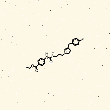 CCOC(=O)c1ccc(NC(=O)NCCCN2C=C(Cc3ccc(F)cc3)CC2)cc1